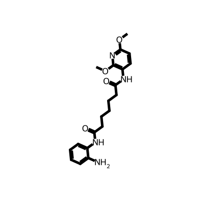 COc1ccc(NC(=O)CCCCCC(=O)Nc2ccccc2N)c(OC)n1